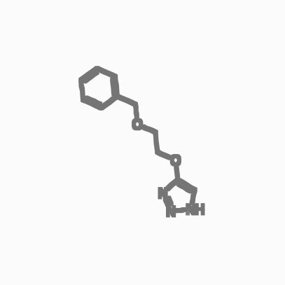 c1ccc(COCCOc2c[nH]nn2)cc1